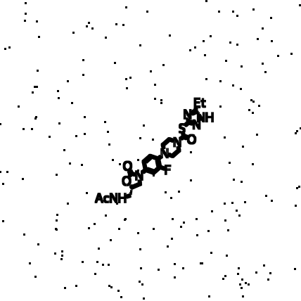 CCc1nc(SC(=O)N2CCN(c3ccc(N4C[C@H](CNC(C)=O)OC4=O)cc3F)CC2)n[nH]1